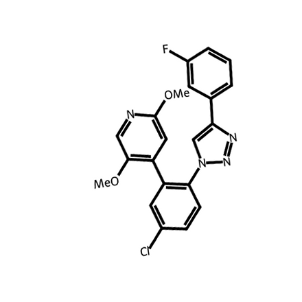 COc1cc(-c2cc(Cl)ccc2-n2cc(-c3cccc(F)c3)nn2)c(OC)cn1